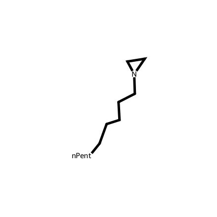 CCCCCCCCCCN1CC1